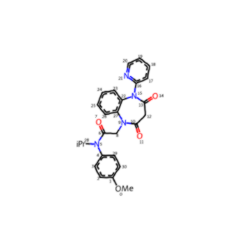 COc1ccc(N(C(=O)CN2C(=O)CC(=O)N(c3ccccn3)c3ccccc32)C(C)C)cc1